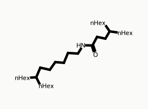 CCCCCCC(CCCCCC)CCCCCCNC(=O)CCC(CCCCCC)CCCCCC